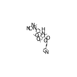 CCOC(=O)C1=C(c2ccc(-n3c(C)nc4cnccc43)cc2)NC(C)=C(C(=O)OCC#Cc2cccnc2)C1CC(C)(C)C